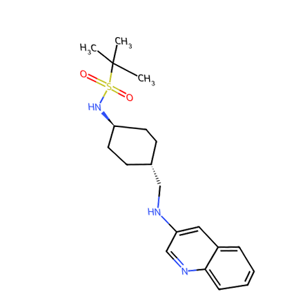 CC(C)(C)S(=O)(=O)N[C@H]1CC[C@H](CNc2cnc3ccccc3c2)CC1